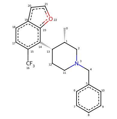 C[C@@H]1CN(Cc2ccccc2)CC[C@@H]1c1c(C(F)(F)F)ccc2ccoc12